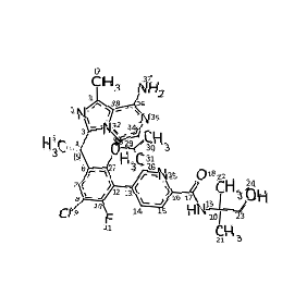 Cc1nc([C@@H](C)c2cc(Cl)c(F)c(-c3ccc(C(=O)NC(C)(C)CO)nc3)c2OC(C)C)n2ccnc(N)c12